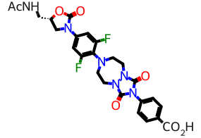 CC(=O)NC[C@H]1CN(c2cc(F)c(N3CCn4c(=O)n(-c5ccc(C(=O)O)cc5)c(=O)n4CC3)c(F)c2)C(=O)O1